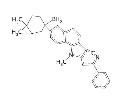 BC1(c2ccc3c(ccc4c5cnc(-c6ccccc6)cc5n(C)c34)c2)CCC(C)(C)CC1